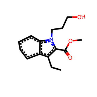 CCc1c(C(=O)OC)n(CCCO)c2ccccc12